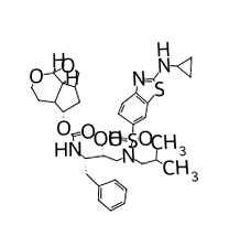 CC(C)CN(C[C@@H](O)[C@H](Cc1ccccc1)NC(=O)O[C@H]1CC2CO[C@H]3OCCC1[C@@H]23)S(=O)(=O)c1ccc2nc(NC3CC3)sc2c1